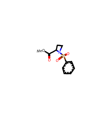 COC(=O)C1CCN1S(=O)(=O)c1ccccc1